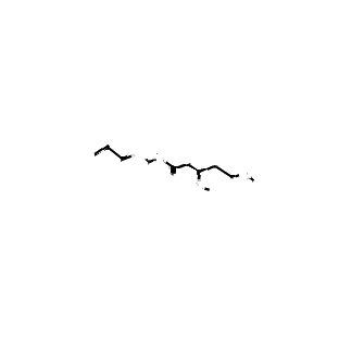 CCCOCNC(=O)CC(CCSC)SC